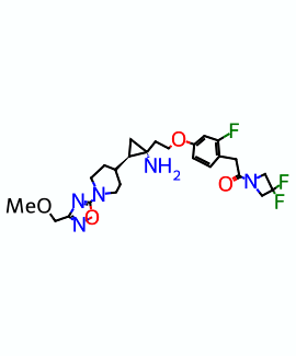 COCc1noc(N2CCC([C@H]3C[C@@]3(N)CCOc3ccc(CC(=O)N4CC(F)(F)C4)c(F)c3)CC2)n1